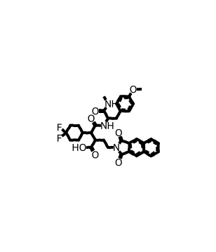 CNC(=O)C(Cc1ccc(OC)cc1)NC(=O)C(C1CCC(F)(F)CC1)C(CCN1C(=O)c2cc3ccccc3cc2C1=O)C(=O)O